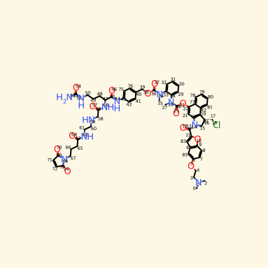 CN(C)CCOc1ccc2oc(C(=O)N3C[C@@H](CCl)c4c3cc(OC(=O)N(C)c3ccccc3N(C)C(=O)OCc3ccc(NC(=O)C(CCCNC(N)=O)NC(=O)CNCCNC(=O)CCCN5C(=O)C=CC5=O)cc3)c3ccccc43)cc2c1